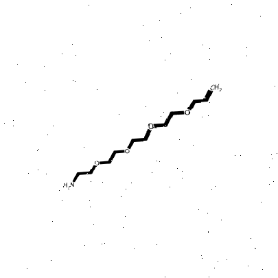 C=CCOCCOCCOCCOCCN